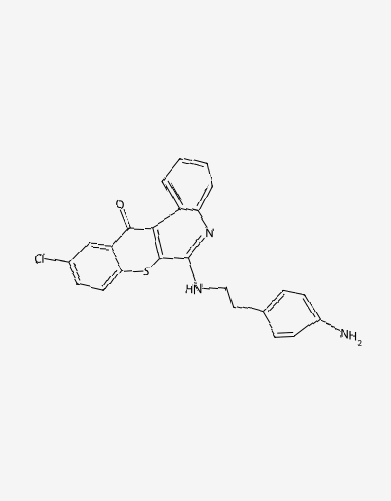 Nc1ccc(CCNc2nc3ccccc3c3c(=O)c4cc(Cl)ccc4sc23)cc1